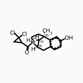 C[C@@H]1[C@H]2Cc3ccc(O)cc3[C@]1(C)CCN2C(=O)C1CC1(Cl)Cl